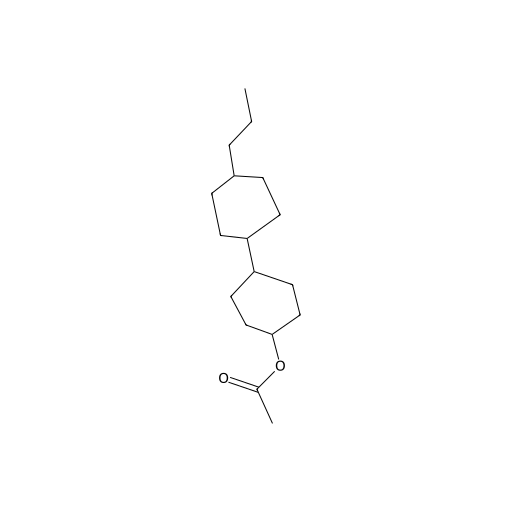 CCCC1CCC(C2CCC(OC(C)=O)CC2)CC1